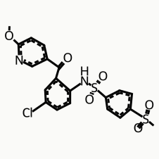 COc1ccc(C(=O)c2cc(Cl)ccc2NS(=O)(=O)c2ccc(S(C)(=O)=O)cc2)cn1